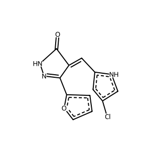 O=C1NN=C(c2ccco2)C1=Cc1cc(Cl)c[nH]1